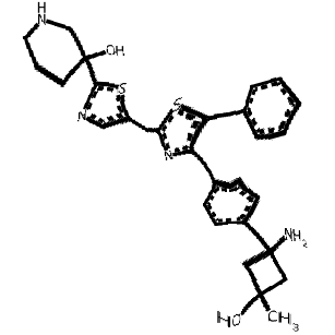 CC1(O)CC(N)(c2ccc(-c3nc(-c4cnc(C5(O)CCCNC5)s4)sc3-c3ccccc3)cc2)C1